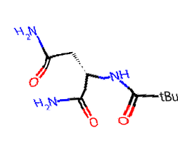 CC(C)(C)C(=O)N[C@@H](CC(N)=O)C(N)=O